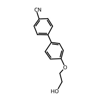 N#Cc1ccc(-c2ccc(OCCO)cc2)cc1